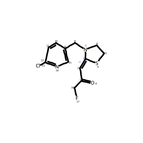 O=C(/C=C1\SCCN1Cc1ccc(Cl)nc1)CF